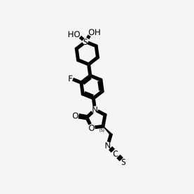 O=C1O[C@H](CN=C=S)CN1c1ccc(C2CCS(O)(O)CC2)c(F)c1